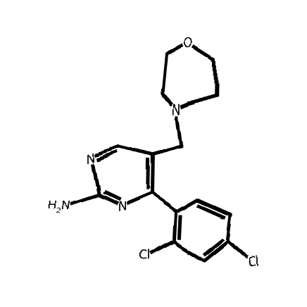 Nc1ncc(CN2CCOCC2)c(-c2ccc(Cl)cc2Cl)n1